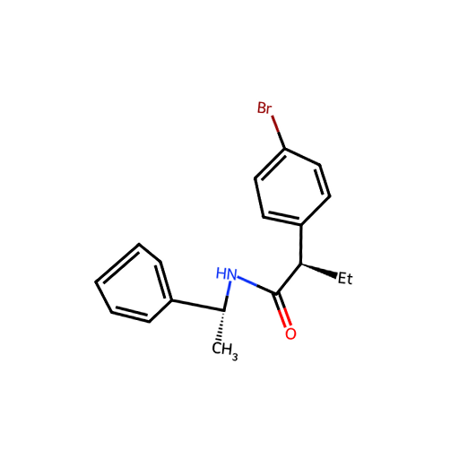 CC[C@@H](C(=O)N[C@H](C)c1ccccc1)c1ccc(Br)cc1